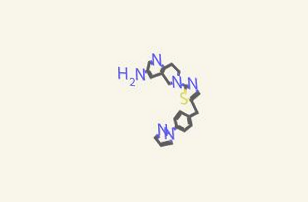 Nc1cnc2c(c1)CN(c1ncc(Cc3ccc(-n4cccn4)cc3)s1)CC2